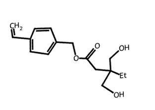 C=Cc1ccc(COC(=O)CC(CC)(CO)CO)cc1